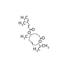 C/C=C(C)/C=C/C(=O)O[C@H]1CCCC(=O)O[C@@H](C(C)C)C/C=C/C[C@@H]1C